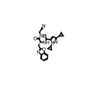 N#CCNC(=O)[C@H](Cc1nc2ccccc2o1)NC(=O)c1cc(C2CC2)nn1C1CC1